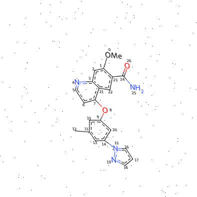 COc1cc2nccc(Oc3cc(C)cc(-n4cccn4)c3)c2cc1C(N)=O